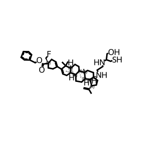 C=C(C)[C@@H]1CC[C@]2(NCCNC(CO)CS)CC[C@]3(C)[C@H](CC[C@@H]4[C@@]5(C)CC=C(C6=CC[C@@](CF)(C(=O)OCc7ccccc7)CC6)C(C)(C)[C@@H]5CC[C@]43C)[C@@H]12